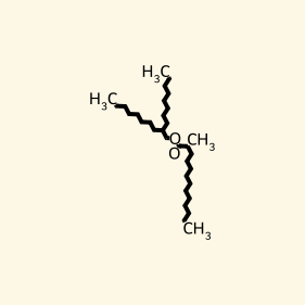 CCCCCCCCCCCC(C)C(=O)OCC(CCCCCCCC)CCCCCCCC